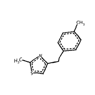 Cc1ccc(Cc2csc(C)n2)cc1